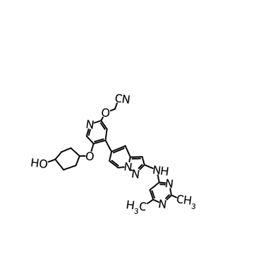 Cc1cc(Nc2cc3cc(-c4cc(OCC#N)ncc4OC4CCC(O)CC4)ccn3n2)nc(C)n1